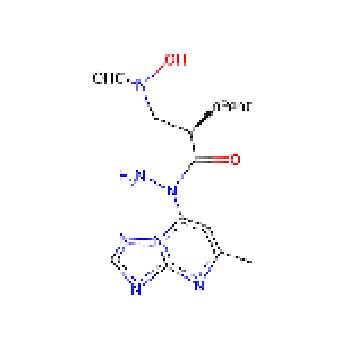 CCCCC[C@H](CN(O)C=O)C(=O)N(N)c1cc(C)nc2ncnn12